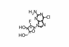 Nc1nc(Cl)c2ncn([C@@H]3O[C@H](CO)[C@@H](O)[C@H]3F)c2n1